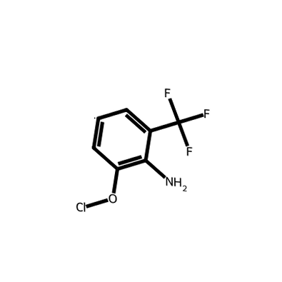 Nc1c(OCl)c[c]cc1C(F)(F)F